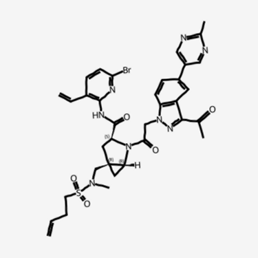 C=CCCS(=O)(=O)N(C)C[C@@]12C[C@@H](C(=O)Nc3nc(Br)ccc3C=C)N(C(=O)Cn3nc(C(C)=O)c4cc(-c5cnc(C)nc5)ccc43)[C@@H]1C2